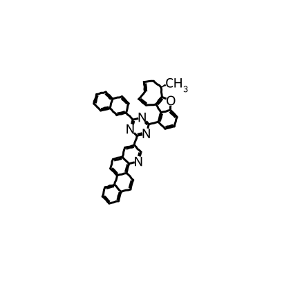 C[C@@H]1C/C=C/C=C\c2c1oc1cccc(-c3nc(-c4ccc5ccccc5c4)nc(-c4cnc5c(ccc6c7ccccc7ccc65)c4)n3)c21